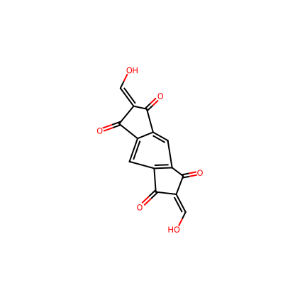 O=C1C(=CO)C(=O)c2cc3c(cc21)C(=O)C(=CO)C3=O